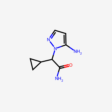 NC(=O)C(C1CC1)n1nccc1N